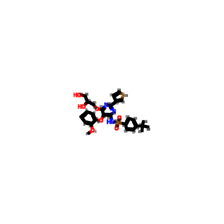 COc1ccccc1Oc1c(NS(=O)(=O)c2ccc(C(C)(C)C)cc2)nc(-c2ccsc2)nc1OCC(O)CO